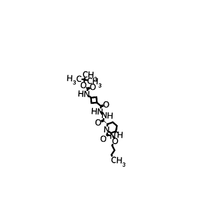 CCCCON1C(=O)N2C[C@@H]1CC[C@H]2C(=O)NNC(=O)C1CC(NC(=O)OC(C)(C)C)C1